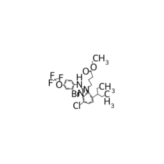 CCOC(=O)CCCn1c(Nc2ccc(OC(F)(F)F)cc2Br)nc2c(Cl)ccc(C(CC)CC)c21